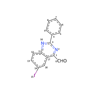 O=Cc1nc(-c2ccccc2)nc2ccc(I)cc12